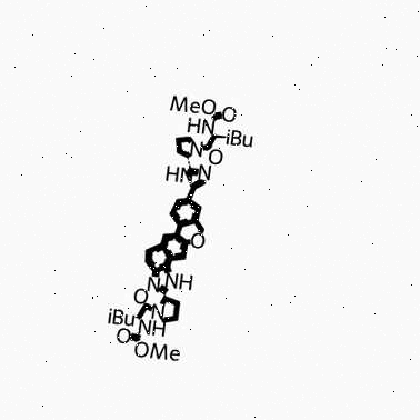 CC[C@H](C)[C@H](NC(=O)OC)C(=O)N1CCC[C@H]1c1ncc(-c2ccc3c(c2)COc2cc4c(ccc5nc([C@@H]6CCCN6C(=O)[C@@H](NC(=O)OC)[C@@H](C)CC)[nH]c54)cc2-3)[nH]1